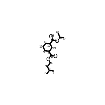 CC(C)CCOC(=O)C1CCCC(C(=O)OC(C)C)C1